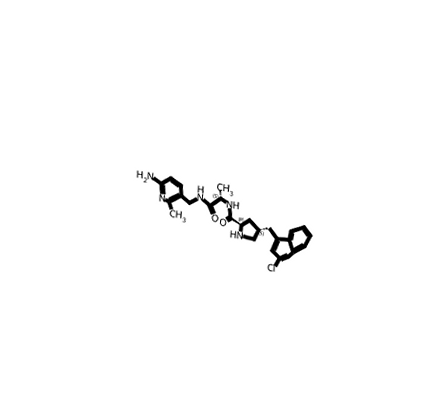 Cc1nc(N)ccc1CNC(=O)[C@H](C)NC(=O)[C@H]1C[C@H](Cc2cc(Cl)cc3ccccc23)CN1